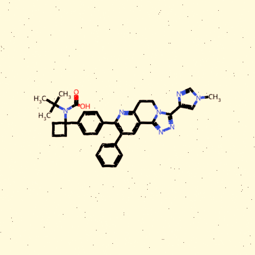 Cn1cnc(-c2nnc3n2CCc2nc(-c4ccc(C5(N(C(=O)O)C(C)(C)C)CCC5)cc4)c(-c4ccccc4)cc2-3)c1